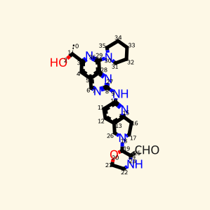 C[C@@H](O)c1cc2cnc(Nc3ccc4c(n3)CCN(C3OCCNC3C=O)C4)nc2c(N2CCCCC2)n1